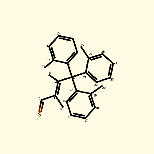 C/C(C=S)=C(/C)C(c1ccccc1C)(c1ccccc1C)c1ccccc1C